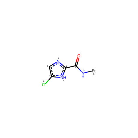 CCNC(=O)c1ncc(Cl)[nH]1